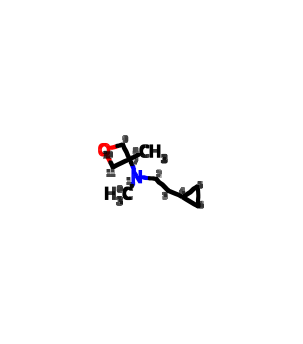 CN(CCC1CC1)C1(C)COC1